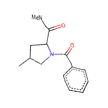 CNC(=O)C1CC(C)CN1C(=O)c1ccccc1